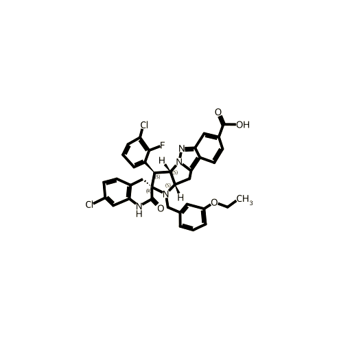 CCOc1cccc(CN2[C@H]3Cc4c5ccc(C(=O)O)cc5nn4[C@H]3[C@H](c3cccc(Cl)c3F)[C@@]23Cc2ccc(Cl)cc2NC3=O)c1